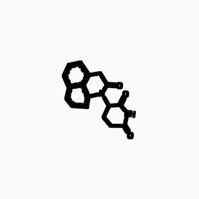 O=C1CCC(N2C(=O)Cc3cccc4cccc2c34)C(=O)N1